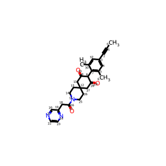 CC#Cc1cc(C)c(C2C(=O)CC3(CCN(C(=O)Cc4cnccn4)CC3)CC2=O)c(C)c1